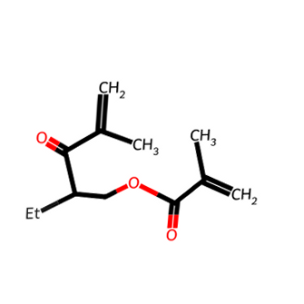 C=C(C)C(=O)OCC(CC)C(=O)C(=C)C